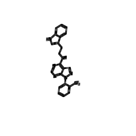 FC(F)(F)c1ccccc1-n1ncc2c(NCCc3c[nH]c4ccccc34)ncnc21